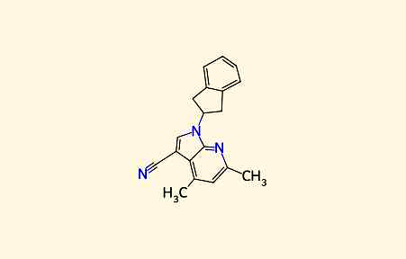 Cc1cc(C)c2c(C#N)cn(C3Cc4ccccc4C3)c2n1